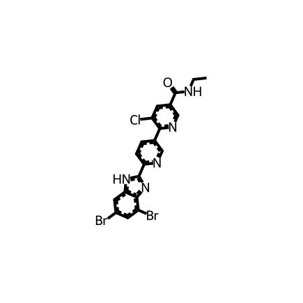 CCNC(=O)c1cnc(-c2ccc(-c3nc4c(Br)cc(Br)cc4[nH]3)nc2)c(Cl)c1